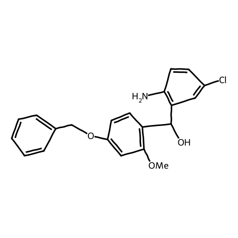 COc1cc(OCc2ccccc2)ccc1C(O)c1cc(Cl)ccc1N